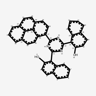 Oc1ccc2ccccc2c1-c1nc(-c2c(O)ccc3ccccc23)nc(-c2ccc3ccc4cccc5ccc2c3c45)n1